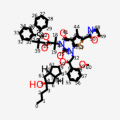 CCCCC1(O)C[C@H]2CC(OC(Cn3c(=O)n(C(C)(C)C(=O)O[Si](c4ccccc4)(c4ccccc4)C(C)(C)C)c(=O)c4c(C)c(-c5ncco5)sc43)c3ccccc3OC)C[C@H]2C1